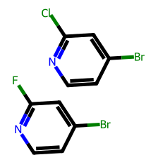 Clc1cc(Br)ccn1.Fc1cc(Br)ccn1